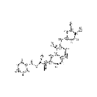 O=C(CSc1ccncc1)Nc1ccc2ncn(Cc3ccc(Cl)c(Cl)c3)c(=O)c2c1